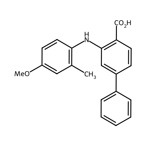 COc1ccc(Nc2cc(-c3ccccc3)ccc2C(=O)O)c(C)c1